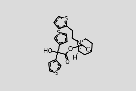 O=C(O[C@@H]1CC2CC[N+]1(CCc1cccs1)CC2)C(O)(c1ccsc1)c1ccsc1